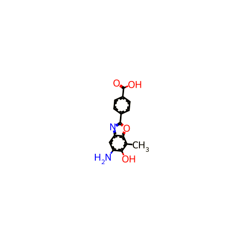 Cc1c(O)c(N)cc2nc(-c3ccc(C(=O)O)cc3)oc12